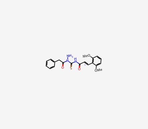 COc1cccc(OC)c1/C=C/C(=O)NC(=S)N(N)C(=O)Cc1ccccc1